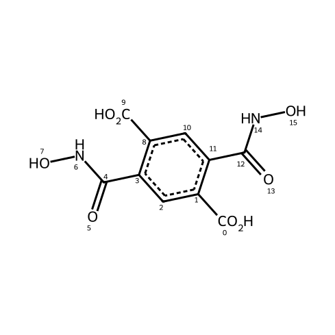 O=C(O)c1cc(C(=O)NO)c(C(=O)O)cc1C(=O)NO